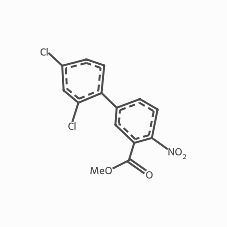 COC(=O)c1cc(-c2ccc(Cl)cc2Cl)ccc1[N+](=O)[O-]